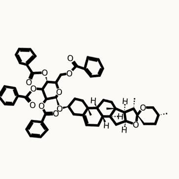 C[C@@H]1CC[C@@]2(OC1)O[C@H]1C[C@H]3[C@@H]4CC=C5C[C@@H](O[C@@H]6OC(COC(=O)c7ccccc7)[C@@H](OC(=O)c7ccccc7)C(OC(=O)c7ccccc7)C6OC(=O)c6ccccc6)CC[C@]5(C)[C@H]4CC[C@]3(C)[C@H]1[C@@H]2C